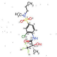 CCCN(C)S(=O)(=O)c1ccc(NC(=O)[C@@](C)(O)C(F)(F)F)c(Cl)c1